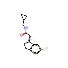 O=C(/C=C1\CCc2ccc(F)cc21)NCC1CC1